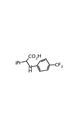 CC(C)C(Nc1ccc(C(F)(F)F)cc1)C(=O)O